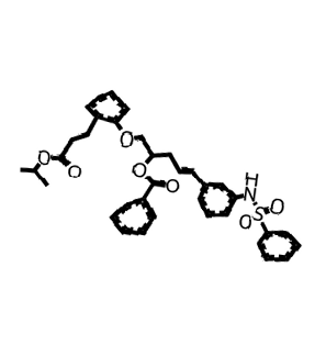 CC(C)OC(=O)CCc1ccccc1OCC(C/C=C/c1cccc(NS(=O)(=O)c2ccccc2)c1)OC(=O)c1ccccc1